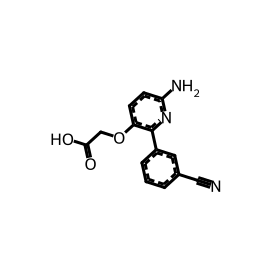 N#Cc1cccc(-c2nc(N)ccc2OCC(=O)O)c1